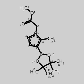 COC(=O)Cn1ncc(B2OC(C)(C)C(C)(C)O2)c1C